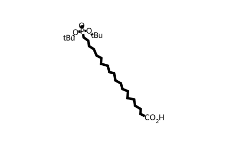 CC(C)(C)OP(=O)(CCCCCCCCCCCCCCCCCCCC(=O)O)OC(C)(C)C